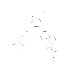 Cc1cc(-c2cc[n+]3c(ccn3NC(=O)C3CC3)c2)c(OC[C@]23CN[C@H](CO2)C3)cn1